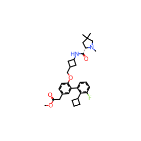 COC(=O)Cc1ccc(OCC2CC(NC(=O)[C@@H]3CC(C)(C)CN3C)C2)c(-c2cccc(F)c2C2CCC2)c1